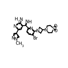 Cn1cc(-c2cc(C(=N)c3ccc(Br)c(N4CC(N5CCS(=O)(=O)CC5)C4)n3)c(N)cn2)cn1